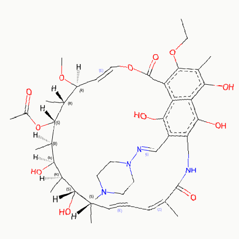 CCOc1c(C)c(O)c2c(O)c3c(/C=N/N4CCN(C)CC4)c(O)c2c1C(=O)O/C=C/[C@H](OC)[C@@H](C)[C@@H](OC(C)=O)[C@H](C)[C@H](O)[C@H](C)[C@@H](O)[C@@H](C)/C=C/C=C(/C)C(=O)N3